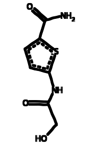 NC(=O)c1ccc(NC(=O)CO)s1